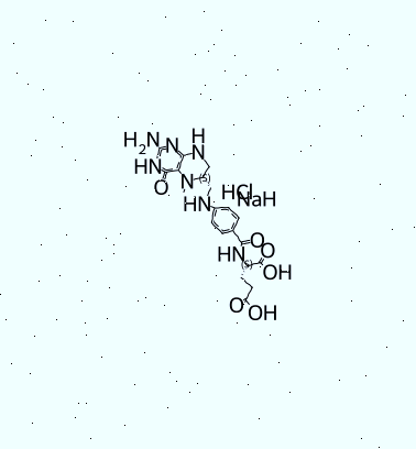 CN1c2c(nc(N)[nH]c2=O)NC[C@@H]1CNc1ccc(C(=O)N[C@@H](CCC(=O)O)C(=O)O)cc1.Cl.[NaH]